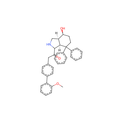 COc1ccccc1-c1ccc(CC(=O)C2NC[C@H]3[C@@H](O)CCC(c4ccccc4)(c4ccccc4)[C@@H]23)cc1